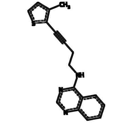 Cc1ccsc1C#CCCNc1ncnc2ccccc12